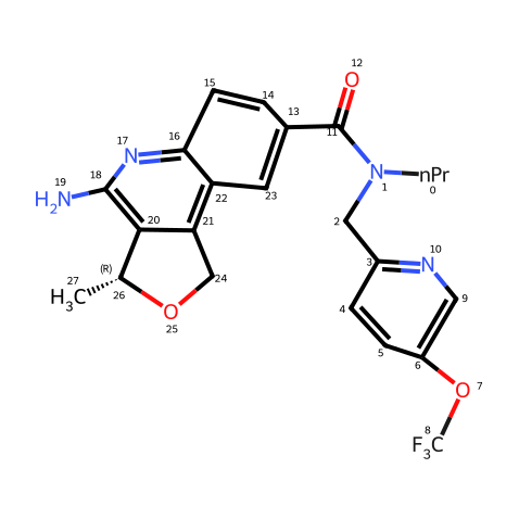 CCCN(Cc1ccc(OC(F)(F)F)cn1)C(=O)c1ccc2nc(N)c3c(c2c1)CO[C@@H]3C